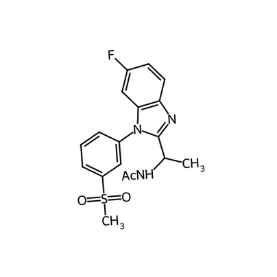 CC(=O)NC(C)c1nc2ccc(F)cc2n1-c1cccc(S(C)(=O)=O)c1